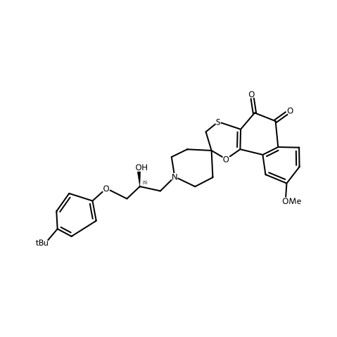 COc1ccc2c(c1)C1=C(SCC3(CCN(C[C@H](O)COc4ccc(C(C)(C)C)cc4)CC3)O1)C(=O)C2=O